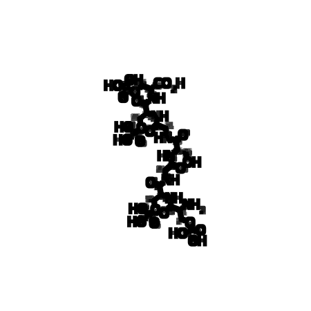 N[C@@H](COP(=O)(O)O)C(=O)N[C@@H](COP(=O)(O)O)C(=O)NCC(=O)N[C@@H](CO)C(=O)NCC(=O)N[C@@H](COP(=O)(O)O)C(=O)N[C@@H](COP(=O)(O)O)C(=O)O